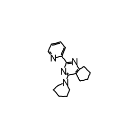 c1ccc(-c2nc3c(c(N4CCCCC4)n2)CCCC3)nc1